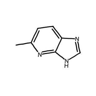 Cc1ccc2nc[nH]c2n1